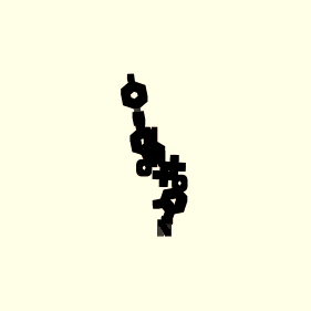 Cc1cc(O[C@H]2C(C)(C)[C@H](N3Cc4nc(C#C[C@H]5CC[C@H](C)CC5)ccc4C3=O)C2(C)C)ccc1C#N